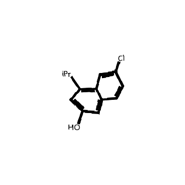 CC(C)c1cc(O)cc2ccc(Cl)cc12